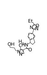 CCc1nc(-c2ccc3c(c2)CCC3NC(=O)c2cnn(CCCO)c2C)no1